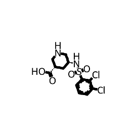 O=C(O)[C@@H]1CNC[C@H](NS(=O)(=O)c2cccc(Cl)c2Cl)C1